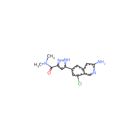 CN(C)C(=O)c1cc(-c2cc(Cl)c3cnc(N)cc3c2)[nH]n1